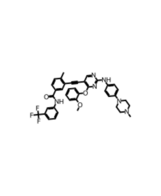 COc1ccccc1Oc1nc(Nc2ccc(N3CCN(C)CC3)cc2)ncc1C#Cc1cc(C(=O)Nc2cccc(C(F)(F)F)c2)ccc1C